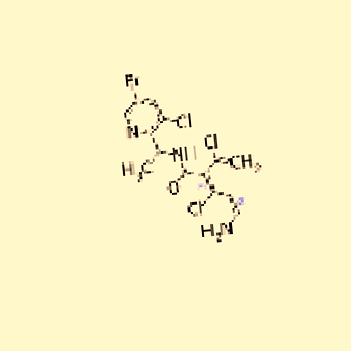 C=C(Cl)/C(C(=O)NC(C)c1ncc(Br)cc1Cl)=C(Cl)\C=C/N